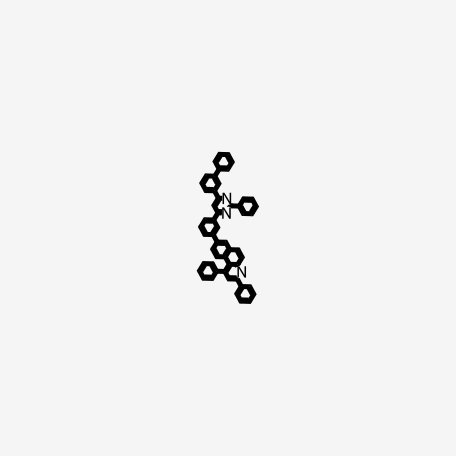 c1ccc(-c2cccc(-c3cc(-c4cccc(-c5ccc6c(ccc7nc(-c8ccccc8)cc(-c8ccccc8)c76)c5)c4)nc(-c4ccccc4)n3)c2)cc1